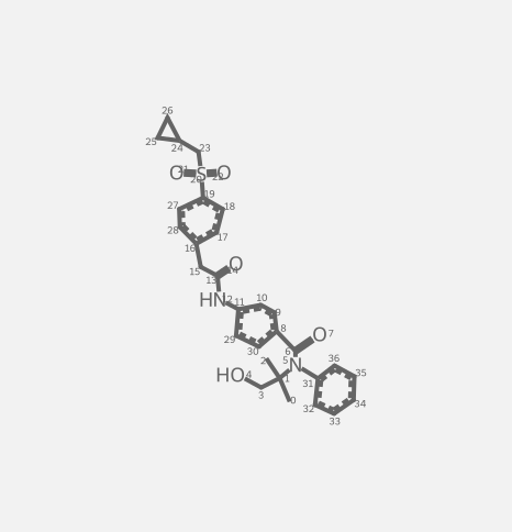 CC(C)(CO)N(C(=O)c1ccc(NC(=O)Cc2ccc(S(=O)(=O)CC3CC3)cc2)cc1)c1ccccc1